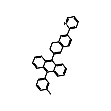 Cc1cccc(-c2c3ccccc3c(C3=Cc4ccc(-c5ccccn5)cc4CC3)c3ccccc23)c1